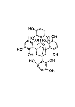 Oc1ccc(O)c(C23CC4(c5c(O)ccc(O)c5O)CC(c5c(O)ccc(O)c5O)(C2)CC(c2c(O)ccc(O)c2O)(C3)C4)c1O